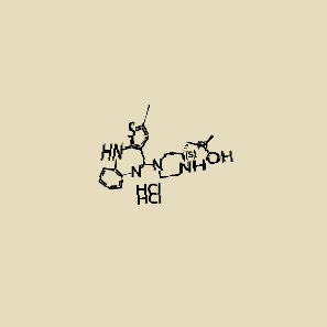 Cc1cc2c(s1)Nc1ccccc1N=C2N1CCN[C@@H](C[C@@H](C)O)C1.Cl.Cl